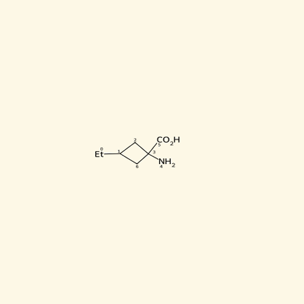 CCC1CC(N)(C(=O)O)C1